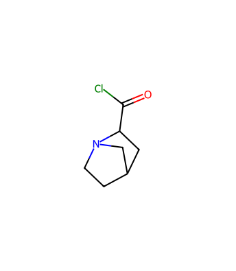 O=C(Cl)C1CC2CCN1C2